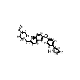 CC(=O)CN1CCN(Cc2ccc3cc(Oc4ccc(-c5ccn[nH]5)cc4)ccc3n2)CC1